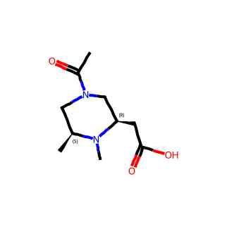 CC(=O)N1C[C@@H](CC(=O)O)N(C)[C@@H](C)C1